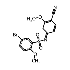 COC1=C(C#N)C=CC(=NS(=O)(=O)c2cc(Br)ccc2OC)C1